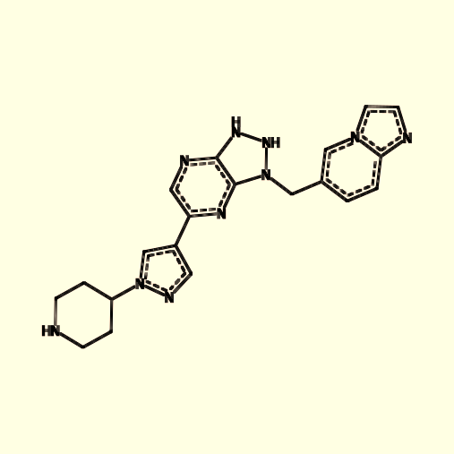 c1cn2cc(CN3NNc4ncc(-c5cnn(C6CCNCC6)c5)nc43)ccc2n1